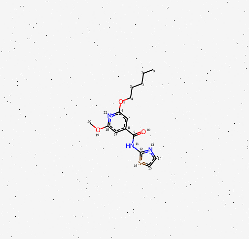 CCCCCOc1cc(C(=O)Nc2nccs2)cc(OC)n1